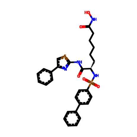 O=C(CCCCC[C@H](NS(=O)(=O)c1ccc(-c2ccccc2)cc1)C(=O)Nc1nc(-c2ccccc2)cs1)NO